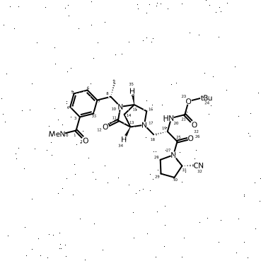 CNC(=O)c1cccc([C@H](C)N2C(=O)[C@@H]3C[C@H]2CN3C[C@H](NC(=O)OC(C)(C)C)C(=O)N2CCC[C@H]2C#N)c1